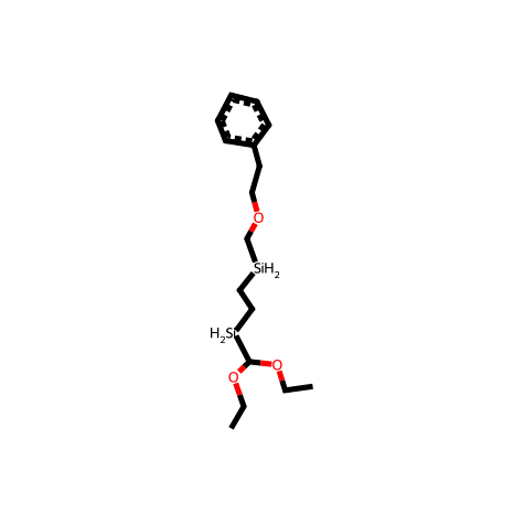 CCOC(OCC)[SiH2]CC[SiH2]COCCc1ccccc1